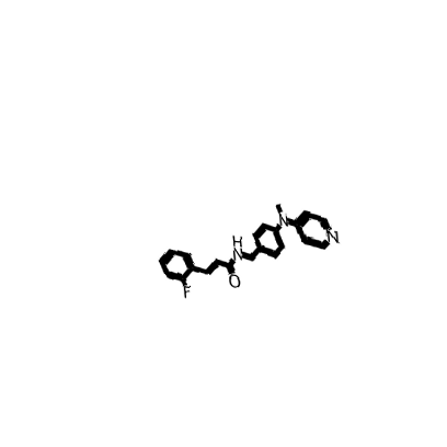 CN(c1ccncc1)c1ccc(CNC(=O)C=Cc2ccccc2F)cc1